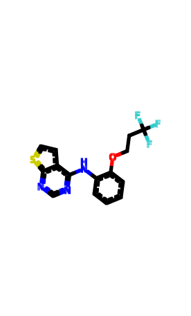 FC(F)(F)CCOc1ccccc1Nc1ncnc2sccc12